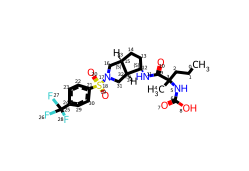 CCCC(C)(NC(=O)O)C(=O)N[C@H]1CC[C@@H]2CN(S(=O)(=O)c3ccc(C(F)(F)F)cc3)C[C@@H]21